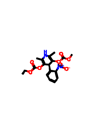 CCOC(=O)OC1=C(C)NC(C)=C(OC(=O)OC)C1c1ccccc1[N+](=O)[O-]